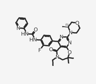 CCN1CC(C)(C)Oc2nc(N3CCOC[C@@H]3C)nc(-c3ccc(NC(=O)Nc4ccccn4)c(F)c3)c2C1=O